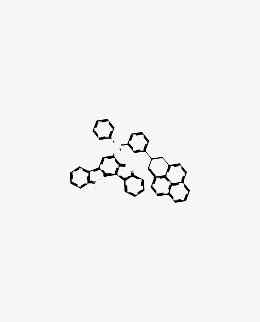 C1=c2ccc3cccc4ccc(c2c43)CC1c1cccc(N(c2ccccc2)c2cc3c4ccccc4oc3c3c2sc2ccccc23)c1